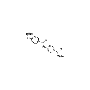 CCCCCCOc1ccc(C(=O)Nc2ccc(C(=O)OC)cc2)cc1